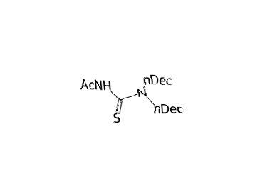 CCCCCCCCCCN(CCCCCCCCCC)C(=S)NC(C)=O